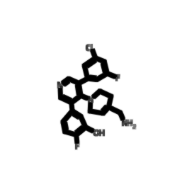 NCC1=CCN(c2c(-c3cc(F)cc(Cl)c3)cncc2-c2ccc(F)c(O)c2)CC1